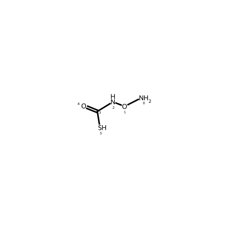 NONC(=O)S